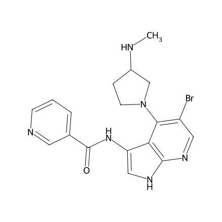 CNC1CCN(c2c(Br)cnc3[nH]cc(NC(=O)c4cccnc4)c23)C1